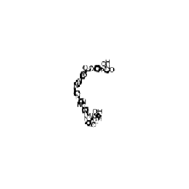 O=C1CCN(c2ccc(OCC(=O)N3CCC(N4CCN(CC5CCN(c6cnc(N7CCN(c8nc9c(c(NC%10(CO)CCC%10)n8)[S@+]([O-])CC9)CC7)nc6)CC5)CC4)CC3)cc2)C(=O)N1